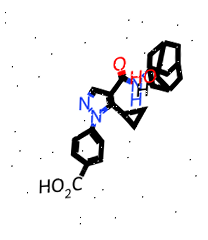 O=C(O)c1ccc(-n2ncc(C(=O)N[C@]34CC5CC(C3)[C@H](O)C(C5)C4)c2C2CC2)cc1